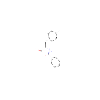 Cc1ccc(C=C2N=C(c3ccccc3)OC2=O)c(C)c1